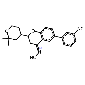 [C-]#[N+]c1cccc(-c2ccc3c(c2)/C(=N/C#N)CC(C2CCOC(C)(C)C2)O3)c1